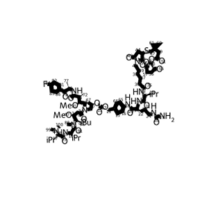 CC[C@H](C)C([C@@H](CC(=O)N1C[C@@H](OC(=O)OCc2ccc(NC(=O)[C@H](CCCNC(N)=O)NC(=O)[C@@H](NC(=O)CCCCCN3C(=O)CC(SCC4(CC(=O)ON5C(=O)CCC5=O)CC4)C3=O)C(C)C)cc2)C[C@H]1[C@H](OC)[C@@H](C)C(=O)N[C@@H](C)C(=O)c1ccc(F)cc1)OC)N(C)C(=O)[C@@H](NC(=O)[C@H](C(C)C)N(C)C)C(C)C